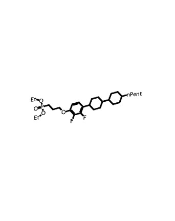 CCCCCC1CCC(C2CCC(c3ccc(OCCCP(=O)(OCC)OCC)c(F)c3F)CC2)CC1